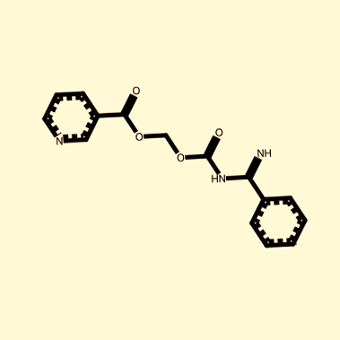 N=C(NC(=O)OCOC(=O)c1cccnc1)c1cc[c]cc1